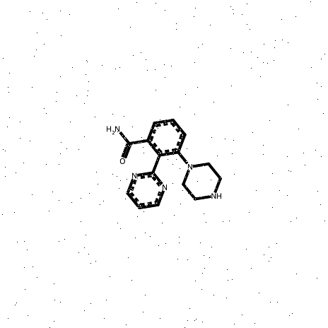 NC(=O)c1cccc(N2CCNCC2)c1-c1ncccn1